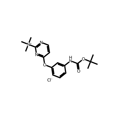 CC(C)(C)OC(=O)Nc1cccc(Oc2ccnc([N+](C)(C)C)n2)c1.[Cl-]